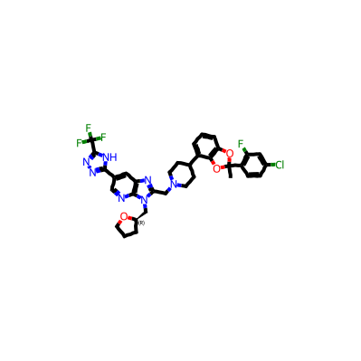 CC1(c2ccc(Cl)cc2F)Oc2cccc(C3CCN(Cc4nc5cc(-c6nnc(C(F)(F)F)[nH]6)cnc5n4C[C@H]4CCCO4)CC3)c2O1